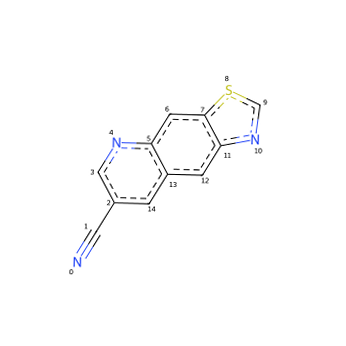 N#Cc1cnc2cc3scnc3cc2c1